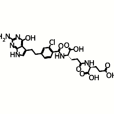 Nc1nc(O)c2c(CCc3ccc(C(=O)N[C@@H](CCC(=O)N[C@@H](CCC(=O)O)C(=O)O)C(=O)O)c(Cl)c3)c[nH]c2n1